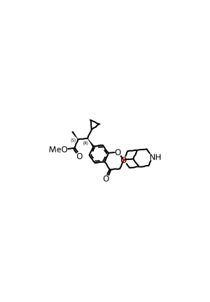 COC(=O)[C@@H](C)[C@H](c1ccc2c(c1)OC(C1C3CNCC1COC3)CC2=O)C1CC1